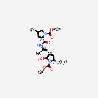 CC(C)C1C[C@@H](C(=O)N[C@H](C#N)C[C@@H]2C[C@@H](C(=O)O)N(C(=O)OC(C)(C)C)C2O)N(C(=O)OC(C)(C)C)C1